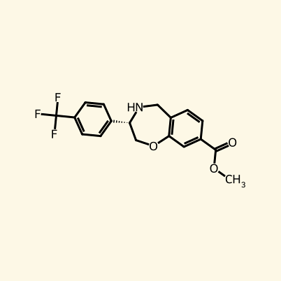 COC(=O)c1ccc2c(c1)OC[C@H](c1ccc(C(F)(F)F)cc1)NC2